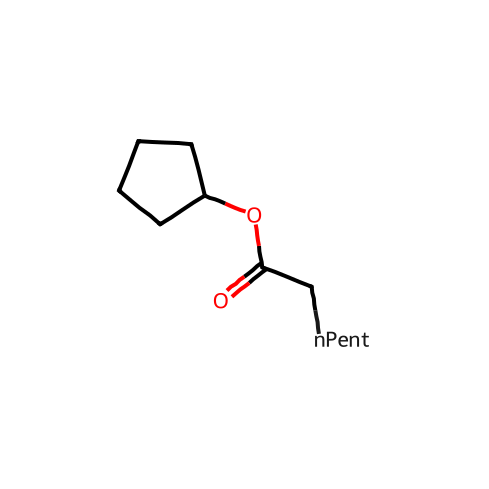 CCCCCCC(=O)OC1CCCC1